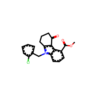 COC(=O)c1cccc2c1c1c(n2Cc2ccccc2Cl)CCCC1=O